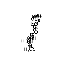 COC(=O)C(CO)NCc1c(C2CC2)cc(OC2CCc3c(-c4cccc(NC(=O)c5nc6c(n5C)CCN(C(C)CO)C6)c4Cl)cccc32)c(Cl)c1F